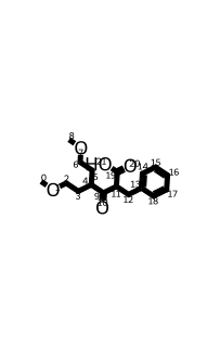 COCCC(CCOC)C(=O)C(Cc1ccccc1)C(=O)O